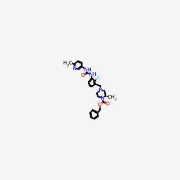 Cc1ccc(NC(=O)Nc2cccc(CN3CCN(C(=O)OCc4ccccc4)[C@H](C)C3)c2F)cn1